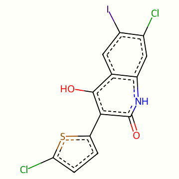 O=c1[nH]c2cc(Cl)c(I)cc2c(O)c1-c1ccc(Cl)s1